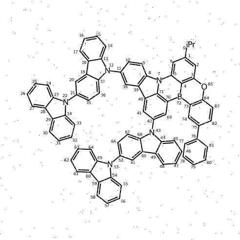 CC(C)c1cc2c3c(c1)-n1c4ccc(-n5c6ccccc6c6cc(-n7c8ccccc8c8ccccc87)ccc65)cc4c4cc(-n5c6ccccc6c6cc(-n7c8ccccc8c8ccccc87)ccc65)cc(c41)B3c1cc(-c3ccccc3)ccc1O2